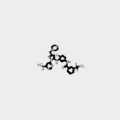 CNc1cc(-n2nc(CN3CCOCC3)cc2Nc2cc(NC(=O)c3cccc(C(C)(F)F)c3)ccc2C)ncn1